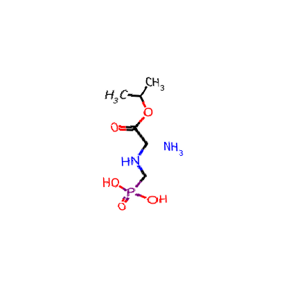 CC(C)OC(=O)CNCP(=O)(O)O.N